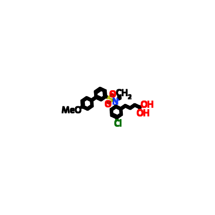 C=CN(C1CC=C(Cl)CC1CCCC(O)O)S(=O)(=O)c1cccc(C2CC=C(OC)CC2)c1